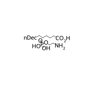 CCCCCCCCCCCCCCCC(=O)O.NCCOP(=O)(O)O